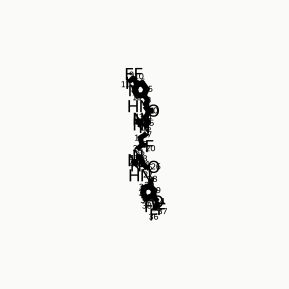 O=C(NCc1ccc(C(F)(F)I)nc1)c1cn(CCC(F)Cn2cc(C(=O)NCc3cccc(OC(F)(F)F)c3)nn2)nn1